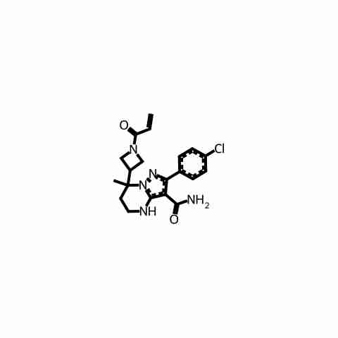 C=CC(=O)N1CC(C2(C)CCNc3c(C(N)=O)c(-c4ccc(Cl)cc4)nn32)C1